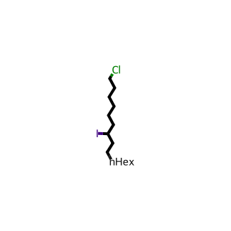 CCCCCCCCC(I)CCCCCCCl